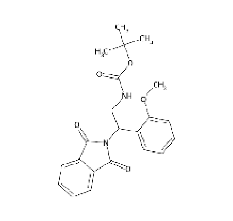 COc1ccccc1C(CNC(=O)OC(C)(C)C)N1C(=O)c2ccccc2C1=O